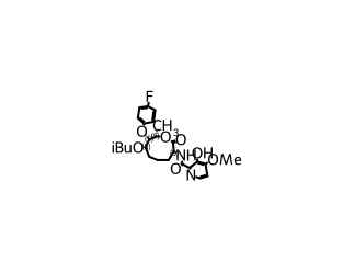 COc1ccnc(C(=O)N[C@H]2CCC[C@H](OCC(C)C)[C@@H](Oc3ccc(F)cc3)[C@H](C)OC2=O)c1O